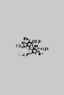 CC(C)O[C@H]1OC(COS(=O)(=O)O)[C@@H](O[C@@H]2OC(C(=O)O)[C@@H](OC(C)C)C(O)C2OS(=O)(=O)O)C(O)C1NS(=O)(=O)O